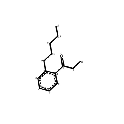 [CH2]CC(=O)c1ccccc1CCCCC